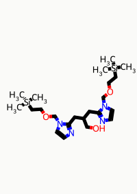 C[Si](C)(C)CCOCn1ccnc1CC(CO)Cc1nccn1COCC[Si](C)(C)C